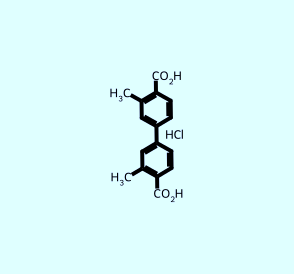 Cc1cc(-c2ccc(C(=O)O)c(C)c2)ccc1C(=O)O.Cl